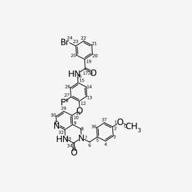 COc1ccc(CN2Cc3c(Oc4ccc(NC(=O)c5cccc(Br)c5)cc4F)ccnc3NC2=O)cc1